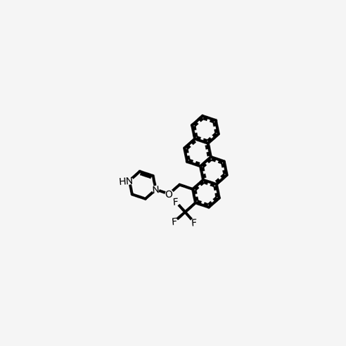 FC(F)(F)c1ccc2ccc3c4ccccc4ccc3c2c1CON1C=CNCC1